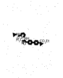 CCOC(=O)C1(c2ccc(-c3ccc(-c4onc(C)c4Nc4cccc(C(=O)NC5CC5)n4)cc3)cc2)CC1